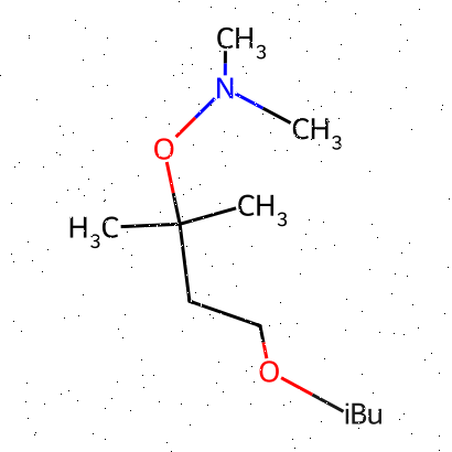 CCC(C)OCCC(C)(C)ON(C)C